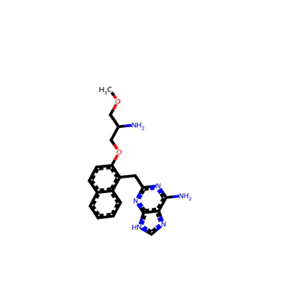 COCC(N)COc1ccc2ccccc2c1Cc1nc(N)c2nc[nH]c2n1